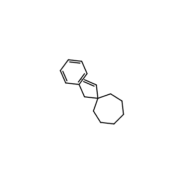 [CH]=CC1(Cc2ccccc2)CCCCCC1